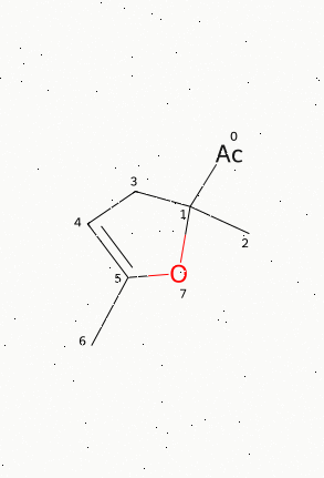 CC(=O)C1(C)CC=C(C)O1